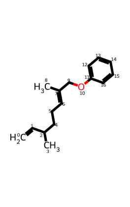 C=CC(C)CCC=C(C)COc1ccccc1